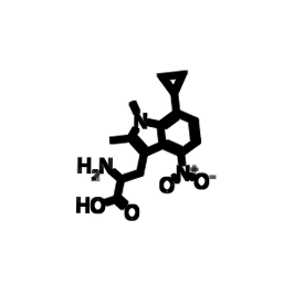 Cc1c(CC(N)C(=O)O)c2c([N+](=O)[O-])ccc(C3CC3)c2n1C